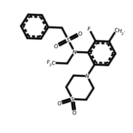 [CH2]c1ccc(N2CCS(=O)(=O)CC2)c(N(CC(F)(F)F)S(=O)(=O)Cc2ccccc2)c1F